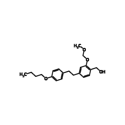 CCCCOc1ccc(CCc2ccc(CO)c(OCOC)c2)cc1